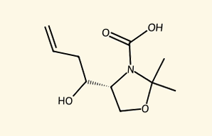 C=CCC(O)[C@H]1COC(C)(C)N1C(=O)O